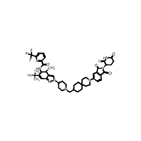 CC1c2cn(C3CCN(CC4CCC5(CC4)CCN(c4ccc6c(c4)C(=O)N(C4CCC(=O)NC4=O)C6=O)CC5)CC3)nc2C=C(C(C)(C)O)C1NC(=O)c1cccc(C(F)(F)F)n1